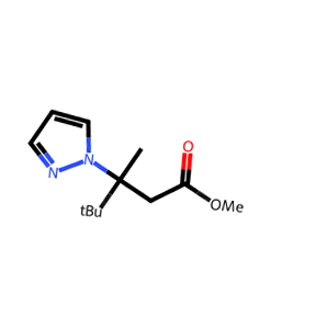 COC(=O)CC(C)(n1cccn1)C(C)(C)C